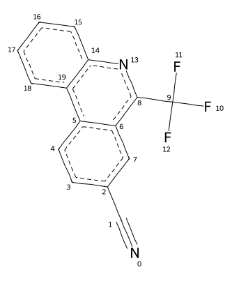 N#Cc1ccc2c(c1)c(C(F)(F)F)nc1ccccc12